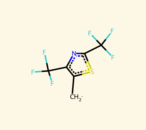 [CH2]c1sc(C(F)(F)F)nc1C(F)(F)F